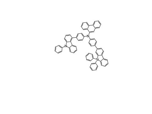 c1ccc(-n2c3ccccc3c3c(-c4ccc(N(c5ccc(-c6ccc7c(c6)[Si](c6ccccc6)(c6ccccc6)c6ccccc6-7)cc5)c5cc6ccccc6c6ccccc56)cc4)cccc32)cc1